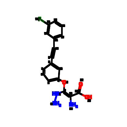 NN/C(Oc1cccc(C#Cc2cccc(F)c2)c1)=C(\N)C(=O)O